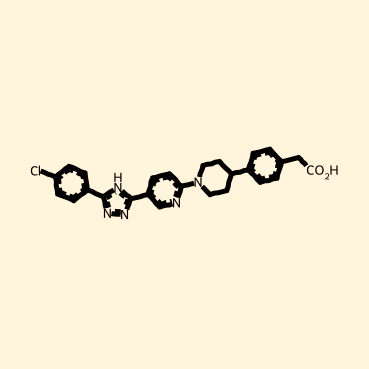 O=C(O)Cc1ccc(C2CCN(c3ccc(-c4nnc(-c5ccc(Cl)cc5)[nH]4)cn3)CC2)cc1